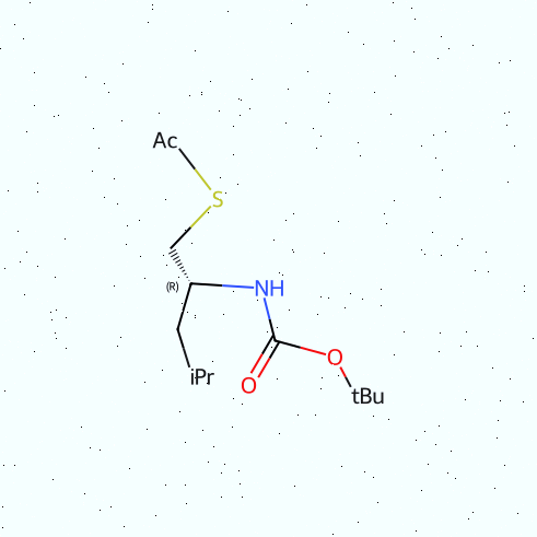 CC(=O)SC[C@@H](CC(C)C)NC(=O)OC(C)(C)C